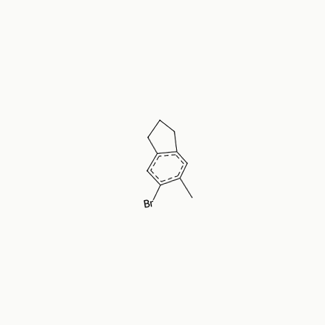 Cc1cc2c(cc1Br)CCC2